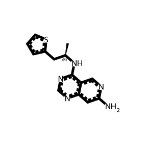 C[C@H](Cc1cccs1)Nc1ncnc2cc(N)ncc12